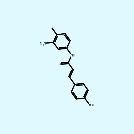 Cc1ccc(NC(=O)/C=C/c2ccc(C(C)(C)C)cc2)cc1[N+](=O)[O-]